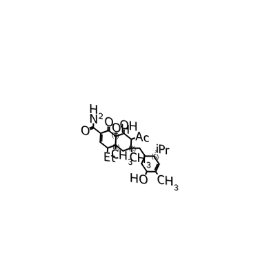 CCC1C=C(C(N)=O)C(=O)[C@]2(O)C(O)C(C(C)=O)[C@](C)(CC3CC(O)C(C)=C[C@H]3C(C)C)C[C@]12C